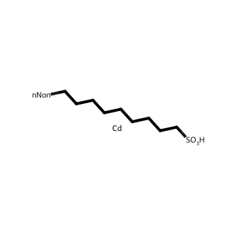 CCCCCCCCCCCCCCCCCCS(=O)(=O)O.[Cd]